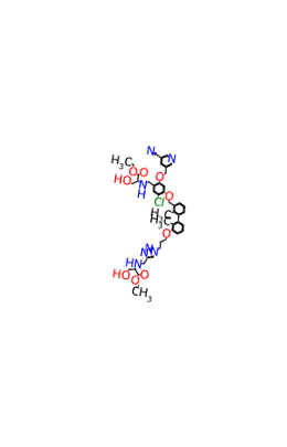 CCOC(=O)C(CO)NCc1cn(CCCOc2cccc(-c3cccc(COc4cc(OCc5cncc(C#N)c5)c(CNC(CO)C(=O)OCC)cc4Cl)c3C)c2C)nn1